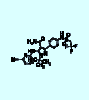 CC(C)(C)n1nc(-c2ccc(NS(=O)(=O)CC(F)(F)F)cc2)c(C(N)=O)c1Nc1cccc(C#N)n1